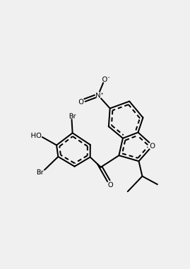 CC(C)c1oc2ccc([N+](=O)[O-])cc2c1C(=O)c1cc(Br)c(O)c(Br)c1